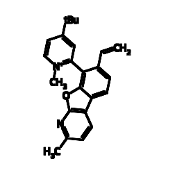 C=Cc1ccc2c(oc3nc(C)ccc32)c1-c1cc(C(C)(C)C)cc[n+]1C